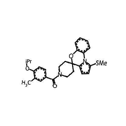 CSc1ccc2n1-c1ccccc1OC21CCN(C(=O)c2ccc(OC(C)C)c(C)c2)CC1